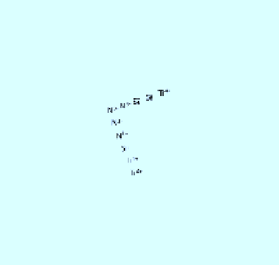 [N-3].[N-3].[N-3].[N-3].[Si].[Si].[Si].[Ti+4].[Ti+4].[Ti+4]